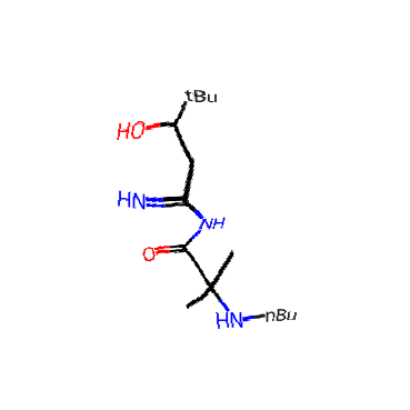 CCCCNC(C)(C)C(=O)NC(=N)CC(O)C(C)(C)C